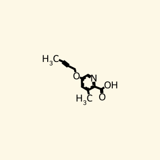 CC#CCOc1cnc(C(=O)O)c(C)c1